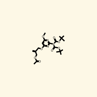 C=C(COC(C)=O)COc1cc(OC)nc(N(C(=O)OC(C)(C)C)C(=O)OC(C)(C)C)n1